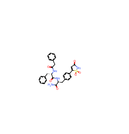 NC(=O)[C@H](Cc1ccc(C2=CC(=O)NS2(=O)=O)cc1)NC(=O)[C@H](Cc1ccccc1)NC(=O)Cc1ccccc1